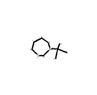 CC(C)(C)N1CCCCSC1